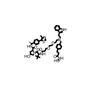 Cc1ncsc1-c1ccc([C@H](C)NC(=O)C2C[C@@H](O)CN2C(=O)[C@@H](NC(=O)CCOCCOCCN(CCc2c[nH]c3ccccc23)Cc2ccc(/C=C/C(=O)NO)cc2)C(C)(C)C)cc1